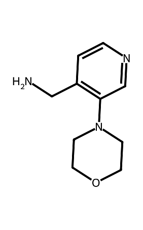 NCc1ccncc1N1CCOCC1